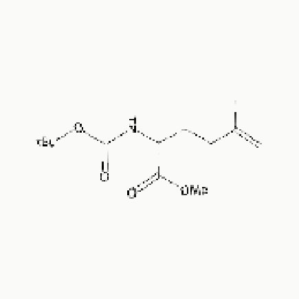 C=C(C)CCC(NC(=O)OC(C)(C)C)C(=O)OC